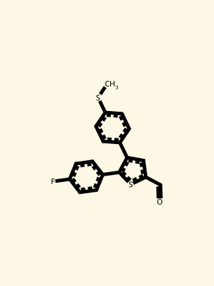 CSc1ccc(-c2cc(C=O)sc2-c2ccc(F)cc2)cc1